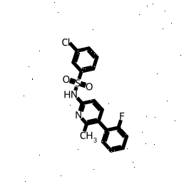 Cc1nc(NS(=O)(=O)c2cccc(Cl)c2)ccc1-c1ccccc1F